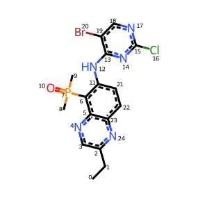 CCc1cnc2c(P(C)(C)=O)c(Nc3nc(Cl)ncc3Br)ccc2n1